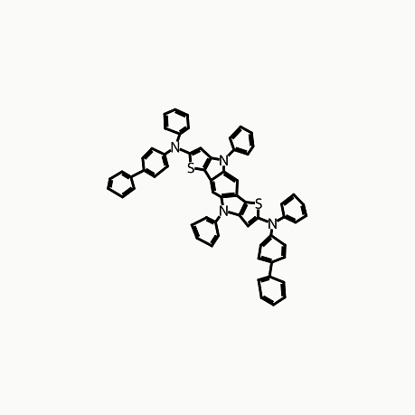 c1ccc(-c2ccc(N(c3ccccc3)c3cc4c(s3)c3cc5c(cc3n4-c3ccccc3)c3sc(N(c4ccccc4)c4ccc(-c6ccccc6)cc4)cc3n5-c3ccccc3)cc2)cc1